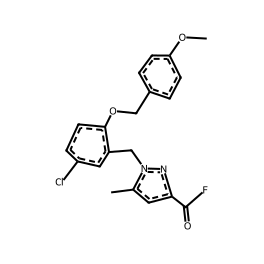 COc1ccc(COc2ccc(Cl)cc2Cn2nc(C(=O)F)cc2C)cc1